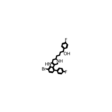 OC(CCCC1Cc2[nH]c3c(Br)ccc(-c4ccc(F)cc4)c3c2CN1)c1ccc(F)cc1